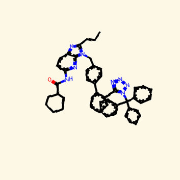 CCCc1nc2ccc(NC(=O)C3CCCCC3)nc2n1Cc1ccc(-c2ccccc2-c2nnnn2C(c2ccccc2)(c2ccccc2)c2ccccc2)cc1